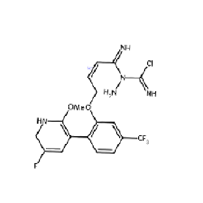 COC1=C(c2ccc(C(F)(F)F)cc2OC/C=C\C(=N)N(N)C(=N)Cl)C=C(F)CN1